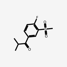 CC(C)C(=O)c1ccc(F)c(S(C)(=O)=O)c1